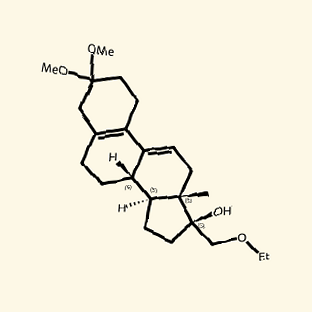 CCOC[C@]1(O)CC[C@H]2[C@@H]3CCC4=C(CCC(OC)(OC)C4)C3=CC[C@@]21C